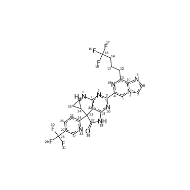 Nc1nc(-c2cn3ccnc3c(CCCC(F)(F)F)n2)nc2c1C(c1ccc(C(F)(F)F)cn1)(C1CC1)C(=O)N2